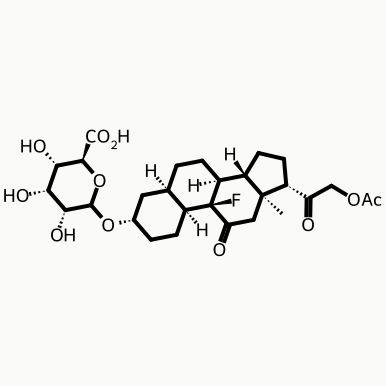 CC(=O)OCC(=O)[C@H]1CC[C@H]2[C@@H]3CC[C@@H]4C[C@@H](OC5O[C@H](C(=O)O)[C@@H](O)[C@@H](O)[C@H]5O)CC[C@@H]4[C@@]3(F)C(=O)C[C@]12C